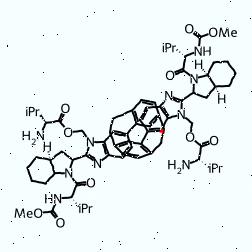 COC(=O)N[C@H](C(=O)N1C(c2nc3ccc(-c4cc5ccc4CCc4ccc(c(-c6ccc7nc(C8C[C@@H]9CCCC[C@@H]9N8C(=O)[C@@H](NC(=O)OC)C(C)C)n(COC(=O)[C@@H](N)C(C)C)c7c6)c4)CC5)cc3n2COC(=O)[C@@H](N)C(C)C)C[C@@H]2CCCCC21)C(C)C